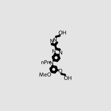 CCCN(c1cc(OC)cc(OCCO)c1)c1ccc2ncc(-c3cnn(CCO)c3)nc2c1